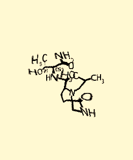 CC(C)CN1C(C(=O)N[C@H](C(N)=O)[C@@H](C)O)CCC12CNC2=O